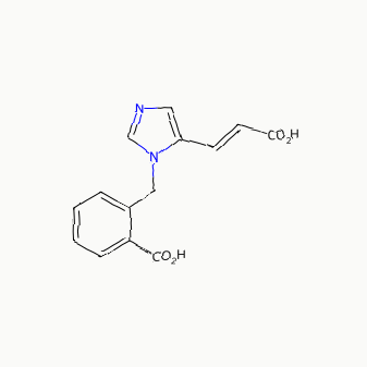 O=C(O)/C=C/c1cncn1Cc1ccccc1C(=O)O